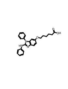 O=C(O)CCCCCOc1ccc2nc(Nc3ccccc3)n(-c3ccccc3)c2c1